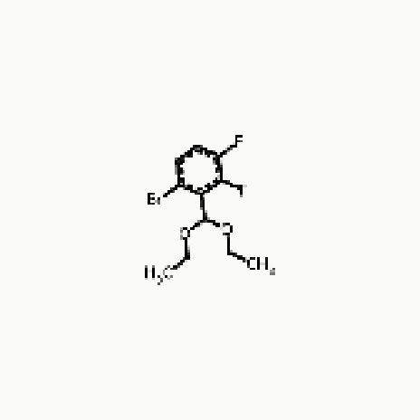 CCOC(OCC)c1c(Br)ccc(F)c1F